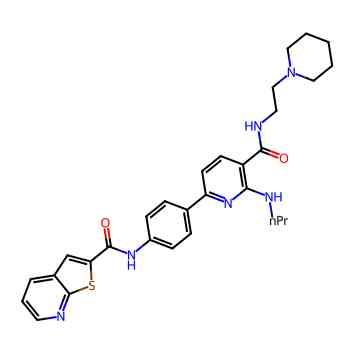 CCCNc1nc(-c2ccc(NC(=O)c3cc4cccnc4s3)cc2)ccc1C(=O)NCCN1CCCCC1